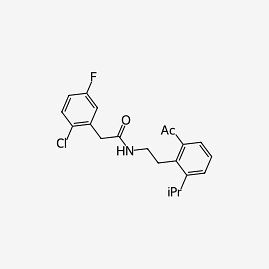 CC(=O)c1cccc(C(C)C)c1CCNC(=O)Cc1cc(F)ccc1Cl